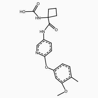 COc1cc(Oc2ccc(NC(=O)C3(NC(=O)O)CCC3)cn2)ccc1C